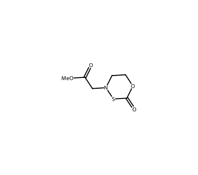 COC(=O)CN1CCOC(=O)S1